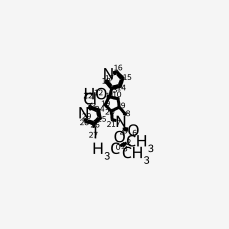 CC(C)(C)OC(=O)N1CC2CC(O)(c3cccnc3)CC2C1.Clc1ccc(I)cn1